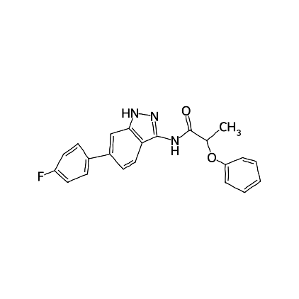 CC(Oc1ccccc1)C(=O)Nc1n[nH]c2cc(-c3ccc(F)cc3)ccc12